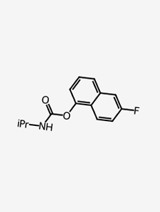 CC(C)NC(=O)Oc1cccc2cc(F)ccc12